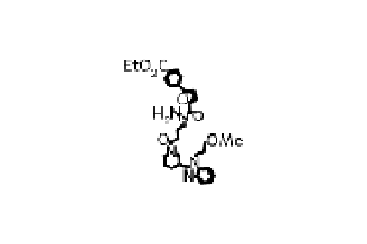 CCOC(=O)c1ccc(-c2ccc(C(=O)N(N)CCCC(=O)N3CCCC(c4nc5ccccc5n4CCCOC)C3)o2)cc1